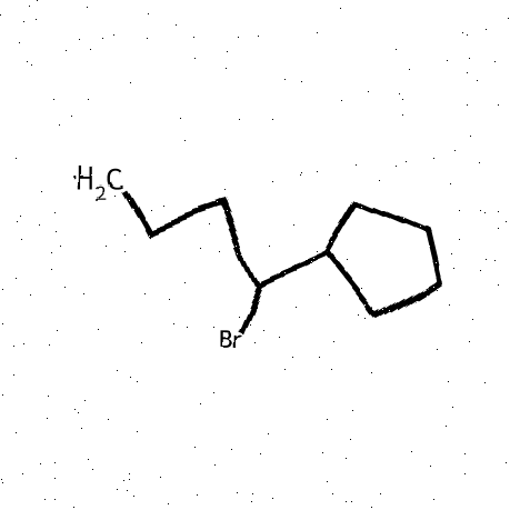 [CH2]CCC(Br)C1CCCC1